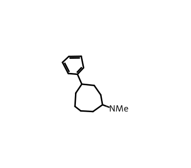 CNC1CCCCC(c2ccccc2)CC1